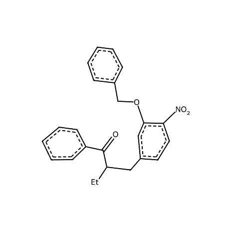 CCC(Cc1ccc([N+](=O)[O-])c(OCc2ccccc2)c1)C(=O)c1ccccc1